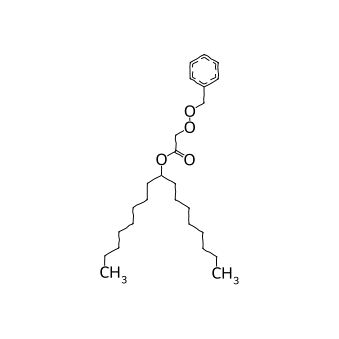 CCCCCCCCC(CCCCCCCC)OC(=O)COOCc1ccccc1